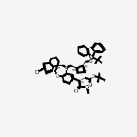 COC(=O)[C@@H](CC(=O)OC(C)(C)C)c1ccc2c(c1)N(C[C@@H]1CC[C@H]1CO[Si](c1ccccc1)(c1ccccc1)C(C)(C)C)C[C@@]1(CCCc3cc(Cl)ccc31)CO2